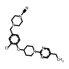 CCc1cnc(N2CCC(Oc3ccc(CN4CCN(C#N)CC4)cc3Cl)CC2)nc1